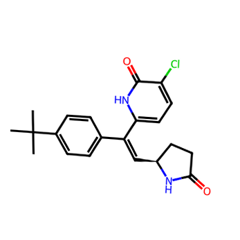 CC(C)(C)c1ccc(C(=C[C@H]2CCC(=O)N2)c2ccc(Cl)c(=O)[nH]2)cc1